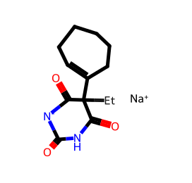 CCC1(C2=CCCCCC2)C(=O)[N-]C(=O)NC1=O.[Na+]